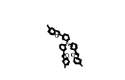 Cc1ccc2oc(-c3cccc(N(c4cccc(-c5cc6cc(C)ccc6o5)c4)c4cccc(-c5cc6cc(C)ccc6o5)c4)c3)cc2c1